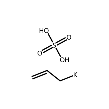 C=C[CH2][K].O=S(=O)(O)O